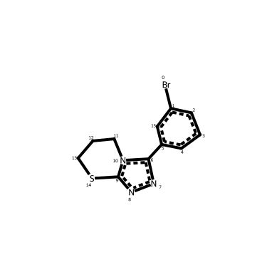 Brc1cccc(-c2nnc3n2CCCS3)c1